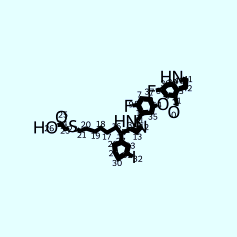 O=Cc1c(Oc2ccc(F)c(-c3ncc(C(CCCCCCSCC(=O)O)c4cccc(I)c4)[nH]3)c2)c(F)cc2[nH]ccc12